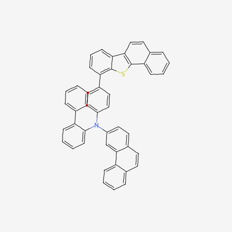 c1ccc(-c2ccccc2N(c2ccc(-c3cccc4c3sc3c5ccccc5ccc43)cc2)c2ccc3ccc4ccccc4c3c2)cc1